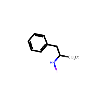 CCOC(=O)C(Cc1ccccc1)NI